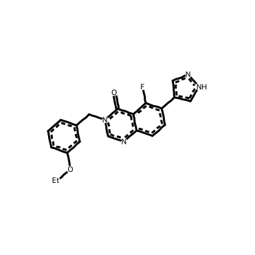 CCOc1cccc(Cn2cnc3ccc(-c4cn[nH]c4)c(F)c3c2=O)c1